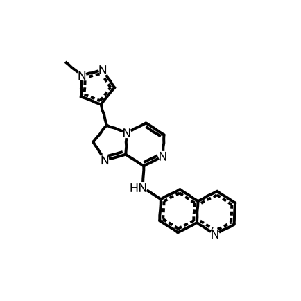 Cn1cc(C2CN=C3C(Nc4ccc5ncccc5c4)=NC=CN32)cn1